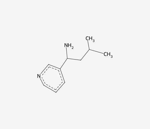 CC(C)CC(N)c1cccnc1